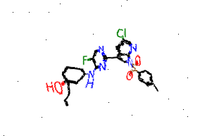 C=CCC1(O)CCC[C@H](Nc2nc(-c3cn(S(=O)(=O)c4ccc(C)cc4)c4ncc(Cl)cc34)ncc2F)C1